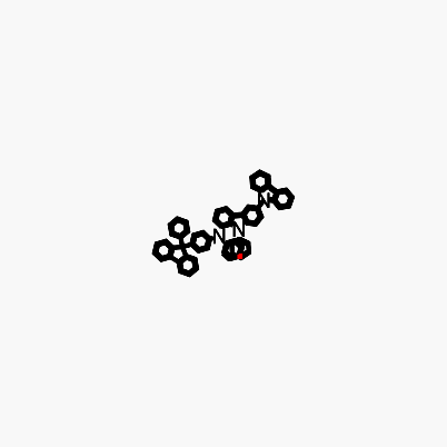 c1cccc(N(c2ccc(C3(c4ccccc4)c4ccccc4-c4ccccc43)cc2)c2cccc3c4cc(-n5c6ccccc6c6ccccc65)ccc4n(C4=CC=CCC4)c23)c#1